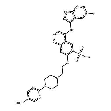 CC(C)(C)S(=O)(=O)c1cc2c(Nc3n[nH]c4ccc(F)cc34)ccnc2cc1OCCN1CCN(c2ncc(C(=O)O)cn2)CC1